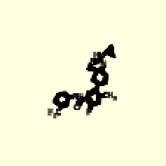 Cc1cc(F)c(C(=O)Nc2cccc(C(F)(F)F)c2)cc1-c1ccc2nc(NC3CC3)ncc2c1